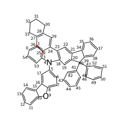 c1ccc(N(c2ccc3oc4ccccc4c3c2)c2cc3c(cc2-c2ccc4c(c2)CCCC4)-c2ccccc2C3(c2ccccc2)c2ccccc2)cc1